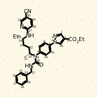 CCOC(=O)c1cnn(-c2ccc(N(C(=O)NCc3ccccc3)[C@H](C)CC[C@H](CC)Nc3ccc(C#N)cn3)cc2)c1